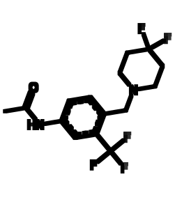 CC(=O)Nc1ccc(CN2CCC(F)(F)CC2)c(C(F)(F)F)c1